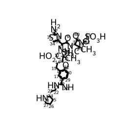 CC1(C)[C@H](NC(=O)/C(=N\O[C@](C)(C(=O)O)[C@H]2CCc3cc(C(=N)NCC[C@@H]4CCCN4)ccc3O2)c2csc(N)n2)C(=O)N1OS(=O)(=O)O